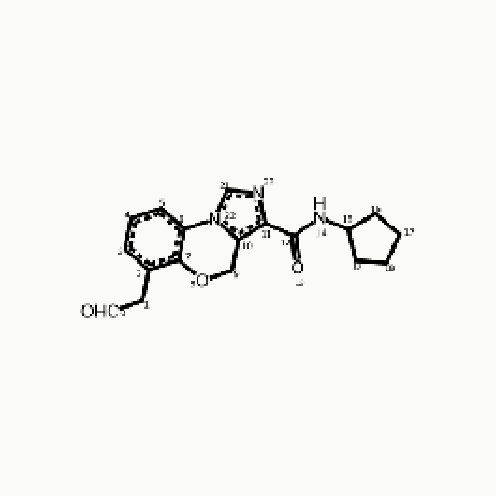 O=CCc1cccc2c1OCc1c(C(=O)NC3CCCC3)ncn1-2